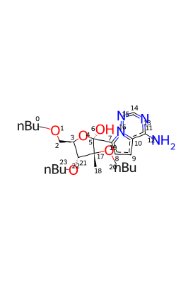 CCCCOC[C@H]1O[C@@](O)(c2ccc3c(N)ncnn23)[C@](C)(OCCCC)[C@@H]1OCCCC